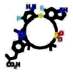 C[C@H](Cc1cccc([C@@]2(C)CCCC(C)(C)CS(=O)(=O)CCc3c(c(F)cc4[nH]ccc34)Sc3cc(c(F)cc3N)-c3nc2nn3C)c1)C(=O)O